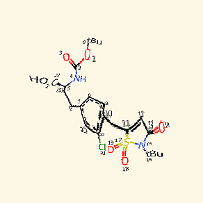 CC(C)(C)OC(=O)N[C@@H](Cc1ccc(C2=CC(=O)N(C(C)(C)C)S2(=O)=O)c(Cl)c1)C(=O)O